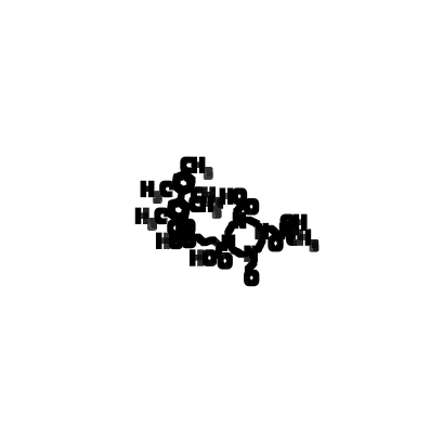 Cc1cc(C)c(-c2cc(C)c(OP(=O)(O)OCCC[C@H](C(=O)O)N3CCN(CC=O)CCN(CC(=O)N(C)O)CCN(CC(=O)O)CC3)cc2C)c(C)c1